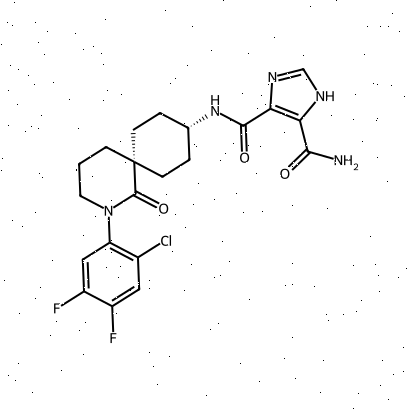 NC(=O)c1[nH]cnc1C(=O)N[C@H]1CC[C@]2(CCCN(c3cc(F)c(F)cc3Cl)C2=O)CC1